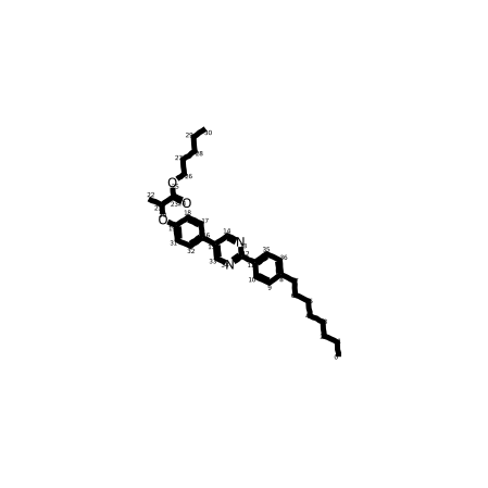 CCCCCCCCc1ccc(-c2ncc(-c3ccc(OC(C)C(=O)OCCCCC)cc3)cn2)cc1